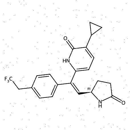 O=C1CC[C@H](C=C(c2ccc(CC(F)(F)F)cc2)c2ccc(C3CC3)c(=O)[nH]2)N1